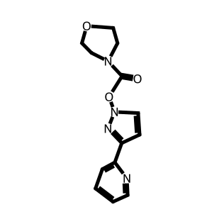 O=C(On1ccc(-c2ccccn2)n1)N1CCOCC1